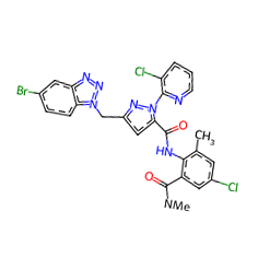 CNC(=O)c1cc(Cl)cc(C)c1NC(=O)c1cc(Cn2nnc3cc(Br)ccc32)nn1-c1ncccc1Cl